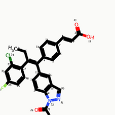 CCC(=C(c1ccc(C=CC(=O)O)cc1)c1ccc2c(cnn2C(C)=O)c1)c1ccc(F)cc1Cl